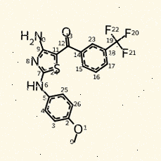 COc1ccc(Nc2nc(N)c(C(=O)c3cccc(C(F)(F)F)c3)s2)cc1